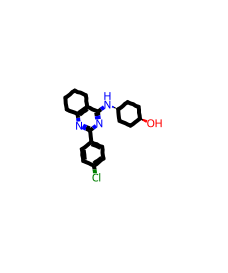 O[C@H]1CC[C@H](Nc2nc(-c3ccc(Cl)cc3)nc3c2CCCC3)CC1